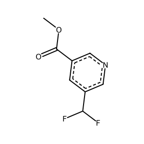 COC(=O)c1cncc(C(F)F)c1